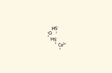 [Cu+2].[O].[SH-].[SH-]